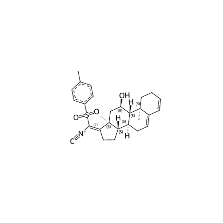 [C-]#[N+]/C(=C1\CC[C@H]2[C@@H]3CC=C4C=CCC[C@]4(C)[C@H]3[C@H](O)C[C@]12C)S(=O)(=O)c1ccc(C)cc1